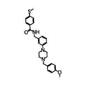 COc1ccc(CN2CCN(c3cccc(CNC(=O)c4ccc(SC)cc4)c3)CC2)cc1